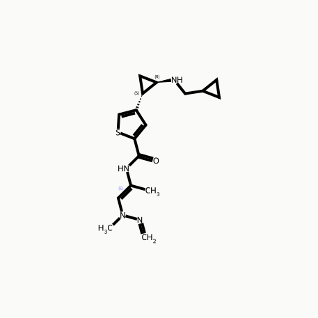 C=NN(C)/C=C(\C)NC(=O)c1cc([C@@H]2C[C@H]2NCC2CC2)cs1